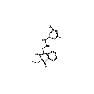 CCn1c(=O)c2ccccc2n(CC(=O)Nc2cc(C)nc(Cl)c2)c1=O